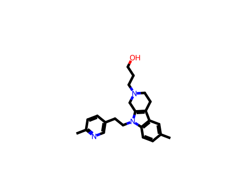 Cc1ccc2c(c1)c1c(n2CCc2ccc(C)nc2)CN(CCCO)CC1